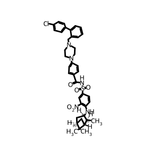 C[C@H]1[C@H]2C[C@H](C[C@H]1Nc1ccc(S(=O)(=O)NC(=O)c3ccc(N4CCN(Cc5ccccc5-c5ccc(Cl)cc5)CC4)cc3)cc1[N+](=O)[O-])C2(C)C